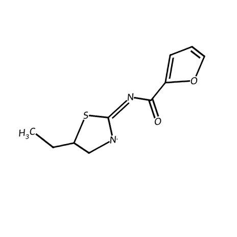 CCC1C[N]C(=NC(=O)c2ccco2)S1